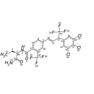 CC[C@@H](NC(=O)c1ccc(C=CC(c2cc(Cl)c(Cl)c(Cl)c2)C(F)(F)F)cc1C(F)(F)F)C(N)=O